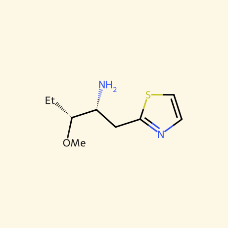 CC[C@@H](OC)[C@H](N)Cc1nccs1